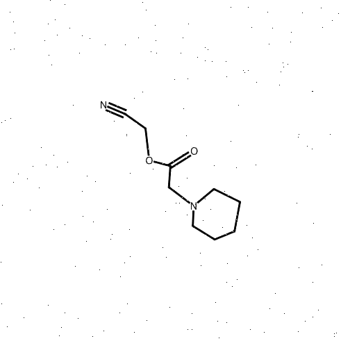 N#CCOC(=O)CN1CCCCC1